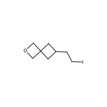 ICCC1CC2(COC2)C1